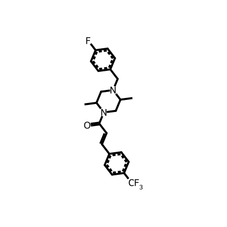 CC1CN(C(=O)C=Cc2ccc(C(F)(F)F)cc2)C(C)CN1Cc1ccc(F)cc1